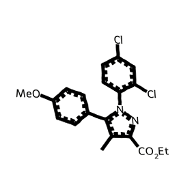 CCOC(=O)c1nn(-c2ccc(Cl)cc2Cl)c(-c2ccc(OC)cc2)c1C